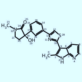 Cc1[nH]c2ncccc2c1-c1nc(-c2cccc([C@]3(O)CCN(C)C3=O)c2)cs1